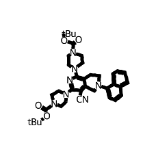 CC(C)(C)OC(=O)N1CCN(c2nc(N3CCN(C(=O)OC(C)(C)C)CC3)c3c(c2C#N)CN(c2cccc4ccccc24)CC3)CC1